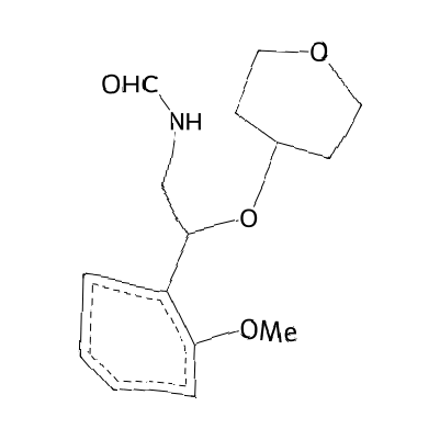 COc1ccccc1C(CNC=O)OC1CCOCC1